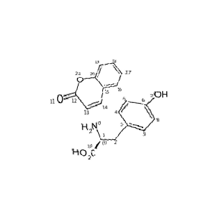 N[C@@H](Cc1ccc(O)cc1)C(=O)O.O=c1ccc2ccccc2o1